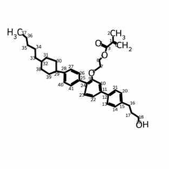 C=C(C)C(=O)OCCOc1cc(-c2ccc(CCCO)cc2)ccc1-c1ccc(C2CCC(CCCCC)CC2)cc1